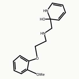 COc1ccccc1OCCNCC1(O)C=CC=CN1